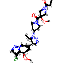 C=CC(=O)N1CC(OC)(C(=O)N2CCC(n3ncc(-c4cc(OC)c5c(Cl)cnn5c4)c3C)CC2)C1